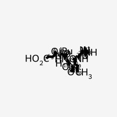 CC[C@H](C)[C@H](NC(=O)CCC(=O)O)C(=O)NCC(=O)N1C(=O)N(C)CC1C(=O)NCc1nn[nH]n1